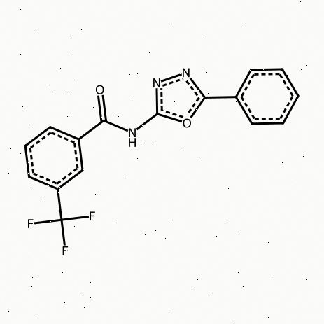 O=C(Nc1nnc(-c2ccccc2)o1)c1cccc(C(F)(F)F)c1